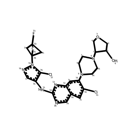 OC1COCC1N1CCN(c2cc3nc(Nc4cnn(C56CC(F)(C5)C6)c4Cl)ncc3cc2Cl)CC1